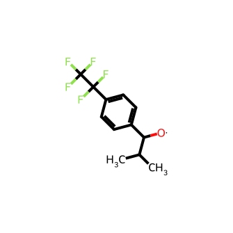 CC(C)C([O])c1ccc(C(F)(F)C(F)(F)F)cc1